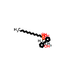 CCCCCCCCCCCCCC[PH](O)(O)Oc1ccccc1C(C)(C)c1ccccc1O